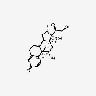 C[C@H]1CC2C3CCC4=CC(=O)C=C[C@]4(C)[C@@]3(Cl)[C@@H](O)C[C@]2(C)[C@@]1(O)C(=O)CO